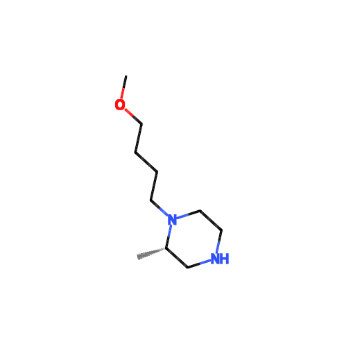 COCCCCN1CCNC[C@@H]1C